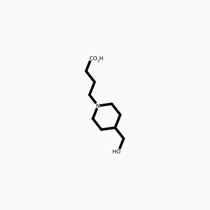 O=C(O)CCCN1CCC(CO)CC1